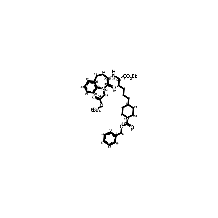 CCOC(=O)[C@H](CCCCC1CCN(C(=O)OCc2ccccc2)CC1)N[C@H]1CCc2ccccc2N(CC(=O)OC(C)(C)C)C1=O